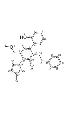 COCc1nc(-c2ccccc2O)n(CCc2ccccc2)c(=O)c1-c1cc(C)cs1